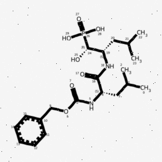 CC(C)C[C@H](NC(=O)OCc1ccccc1)C(=O)N[C@@H](CC(C)C)[C@H](O)P(=O)(O)O